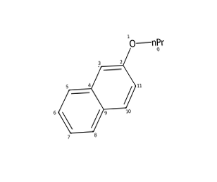 CCCOc1[c]c2ccccc2cc1